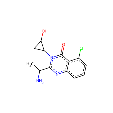 CC(N)c1nc2cccc(Cl)c2c(=O)n1C1CC1O